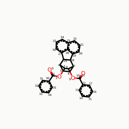 O=C(OC1C2CCC(C1OC(=O)c1ccccc1)C1c3cccc4cccc(c34)C21)c1ccccc1